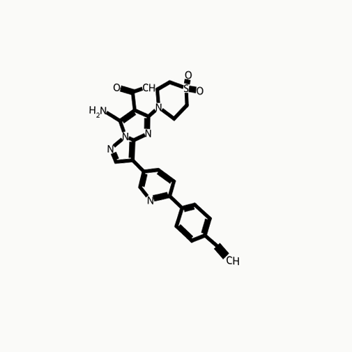 C#Cc1ccc(-c2ccc(-c3cnn4c(N)c(C(C)=O)c(N5CCS(=O)(=O)CC5)nc34)cn2)cc1